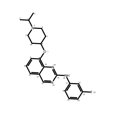 CC(C)N1CCC(Oc2cccc3cnc(Nc4cccc(F)c4)nc23)CC1